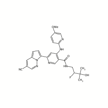 COc1ccc(Nc2cc(-c3ccc4cc(C#N)cnn34)ncc2C(=O)NCC(F)C(C)(C)O)nc1